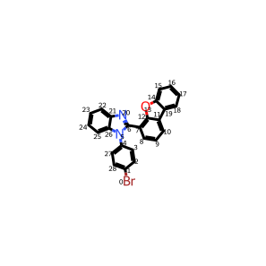 Brc1ccc(-n2c(-c3cccc4c3oc3ccccc34)nc3ccccc32)cc1